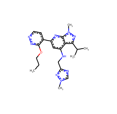 CCCOc1nnccc1-c1cc(NCc2ncn(C)n2)c2c(C(C)C)nn(C)c2n1